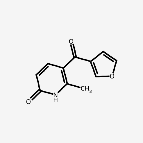 Cc1[nH]c(=O)ccc1C(=O)c1ccoc1